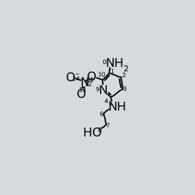 Nc1ccc(NCCO)nc1O[N+](=O)[O-]